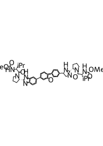 COC(=O)N[C@H](C(=O)N1CCC[C@H]1C1=NCC(c2ccc3c(c2)oc2cc(-c4ccc5nc([C@@H]6CCCN6C(=O)[C@@H](NC(=O)OC)C(C)C)[nH]c5c4)ccc23)N1)C(C)C